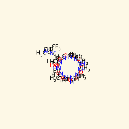 C=CCC1C(=O)N(C)[C@@H](CC(C)C)C(=O)N[C@@H](C(C)C)C(=O)N(C)[C@@H](CC(C)C)C(=O)N[C@@H](C)C(=O)N[C@H](C)C(=O)N(C)[C@@H](CC(C)C)C(=O)N(C)[C@@H](CC(C)C)C(=O)N(C)[C@@H](C(C)C)C(=O)N(C)[C@@H]([C@H](O)[C@H](C)C/C=C/CCC[n+]2ccc(N(C)C)c3ccc(C(F)(F)F)cc32)C(=O)N[C@@H](CC)C(=O)N1C